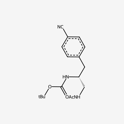 CC(=O)NC[C@@H](Cc1ccc(C#N)cc1)NC(=O)OC(C)(C)C